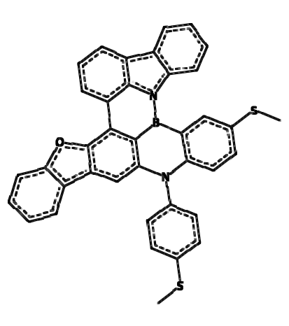 CSc1ccc(N2c3ccc(SC)cc3B3c4c2cc2c(oc5ccccc52)c4-c2cccc4c5ccccc5n3c24)cc1